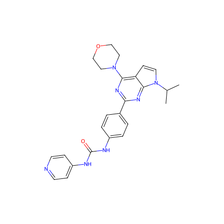 CC(C)n1ccc2c(N3CCOCC3)nc(-c3ccc(NC(=O)Nc4ccncc4)cc3)nc21